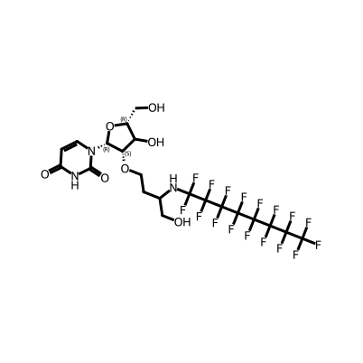 O=c1ccn([C@@H]2O[C@H](CO)C(O)[C@@H]2OCCC(CO)NC(F)(F)C(F)(F)C(F)(F)C(F)(F)C(F)(F)C(F)(F)C(F)(F)C(F)(F)F)c(=O)[nH]1